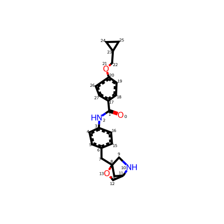 O=C(Nc1ccc(CC23CNC(CO2)C3)cc1)c1ccc(OCC2CC2)cc1